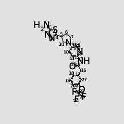 Nc1nnc(C2CCN(c3ccc(NC(=O)Cc4cccc(OC(F)(F)F)c4)nn3)C2)s1